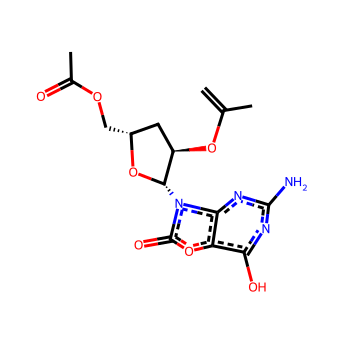 C=C(C)O[C@@H]1C[C@@H](COC(C)=O)O[C@H]1n1c(=O)oc2c(O)nc(N)nc21